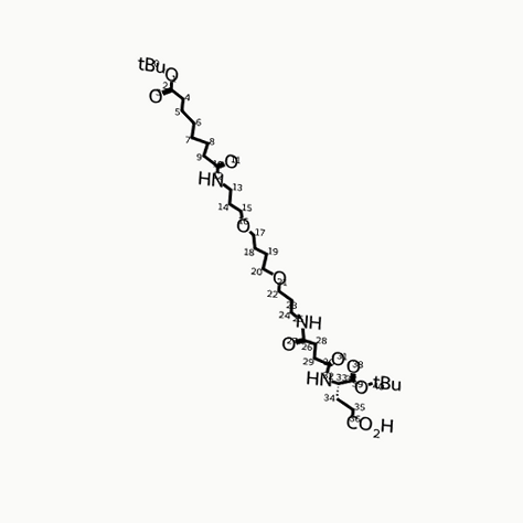 CC(C)(C)OC(=O)CCCCCCC(=O)NCCCOCCCCOCCCNC(=O)CCC(=O)N[C@@H](CCC(=O)O)C(=O)OC(C)(C)C